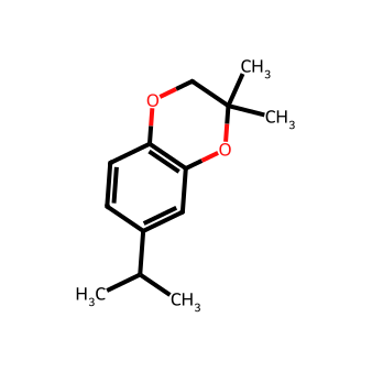 CC(C)c1ccc2c(c1)OC(C)(C)CO2